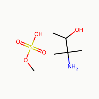 CC(O)C(C)(C)N.COS(=O)(=O)O